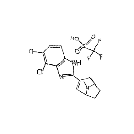 CN1C2C=C(c3nc4c(Cl)c(Cl)ccc4[nH]3)CC1CC2.O=S(=O)(O)C(F)(F)F